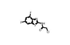 O=C(CCl)Nc1nc2c(F)cc(F)cc2s1